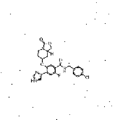 O=C(NCc1ccc(Cl)cc1)c1cc(O[C@H]2CCN3C(=O)OC[C@@H]3C2)c(-c2c[nH]cn2)cc1F